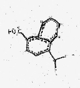 O=C(O)c1ccc(C(F)F)c2ccccc12